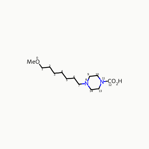 COCCCCCCCN1CCN(C(=O)O)CC1